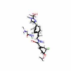 CC(C)Oc1ccc(C(=O)N[C@H](CNC(=O)CN(C)C)Cc2ccc(-c3cn(C)c(C(C)(C)O)n3)cc2)cc1Cl